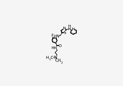 CN(C)CCCNC(=O)c1ccc(F)c(NCc2cnc(Nc3ccccn3)s2)c1